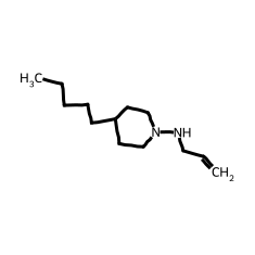 C=CCNN1CCC(CCCCC)CC1